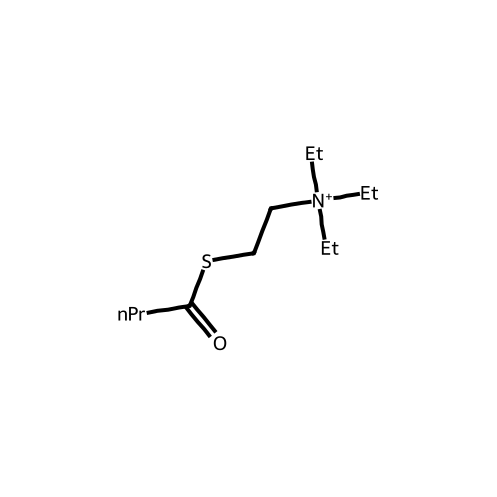 CCCC(=O)SCC[N+](CC)(CC)CC